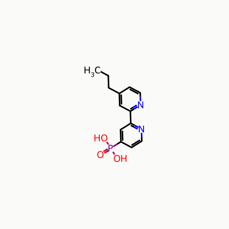 CCCc1ccnc(-c2cc(P(=O)(O)O)ccn2)c1